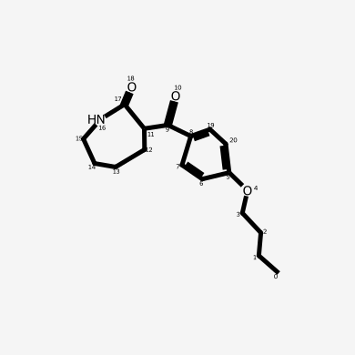 CCCCOc1ccc(C(=O)C2CCCCNC2=O)cc1